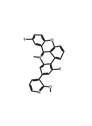 COc1ncccc1-c1cc(F)c2c3cccc4c3c([n+](C)c2c1)-c1cc(F)ccc1O4